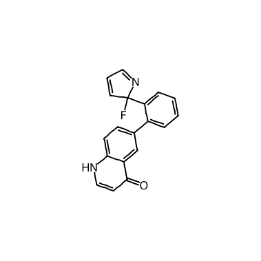 O=c1cc[nH]c2ccc(-c3ccccc3C3(F)C=CC=N3)cc12